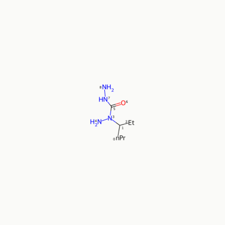 CCCC(CC)N(N)C(=O)NN